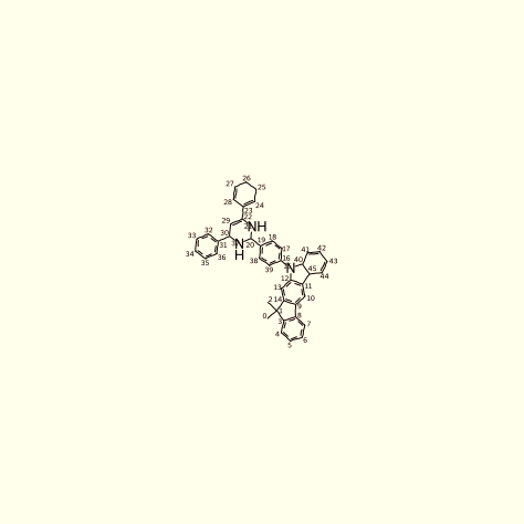 CC1(C)c2ccccc2-c2cc3c(cc21)N(c1ccc(C2NC(C4=CCCC=C4)=CC(c4ccccc4)N2)cc1)C1C=CC=CC31